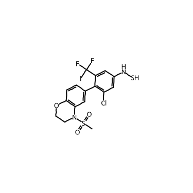 CS(=O)(=O)N1CCOc2ccc(-c3c(Cl)cc(NS)cc3C(F)(F)I)cc21